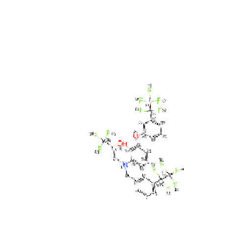 O[C@H](CN(Cc1cccc(C(F)(F)C(F)(F)F)c1)c1cccc(Oc2cccc(C(F)(F)C(F)(F)F)c2)c1)C(F)(F)F